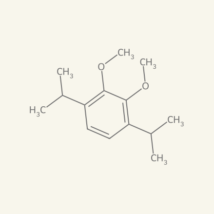 COc1c(C(C)C)ccc(C(C)C)c1OC